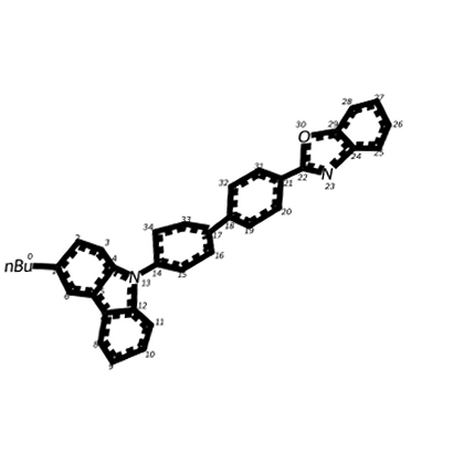 CCCCc1ccc2c(c1)c1ccccc1n2-c1ccc(-c2ccc(-c3nc4ccccc4o3)cc2)cc1